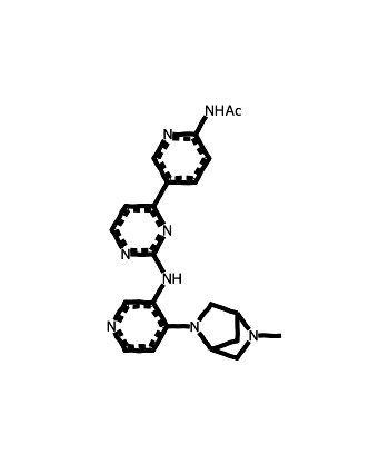 CC(=O)Nc1ccc(-c2ccnc(Nc3cnccc3N3CC4CC3CN4C)n2)cn1